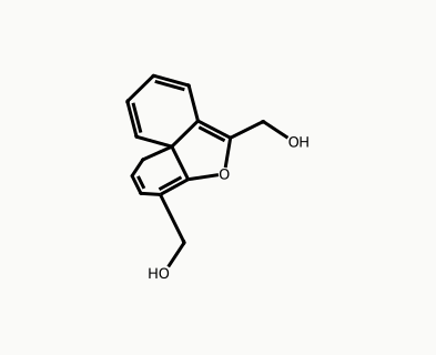 OCC1=C2OC(CO)=C3C=CC=CC32CC=C1